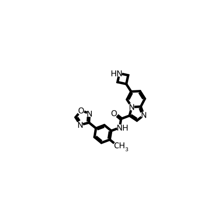 Cc1ccc(-c2ncon2)cc1NC(=O)c1cnc2ccc(C3CNC3)cn12